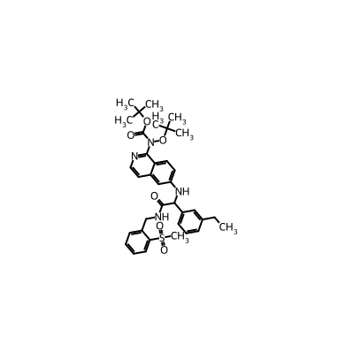 CCc1cccc(C(Nc2ccc3c(N(OC(C)(C)C)C(=O)OC(C)(C)C)nccc3c2)C(=O)NCc2ccccc2S(C)(=O)=O)c1